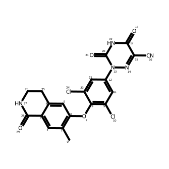 Cc1cc2c(cc1Oc1c(Cl)cc(-n3nc(C#N)c(=O)[nH]c3=O)cc1Cl)CCNC2=O